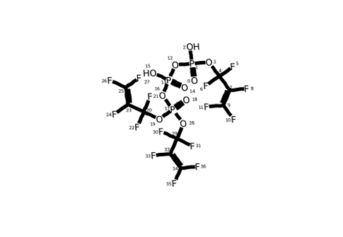 O=P(O)(OC(F)(F)C(F)=C(F)F)OP(=O)(O)OP(=O)(OC(F)(F)C(F)=C(F)F)OC(F)(F)C(F)=C(F)F